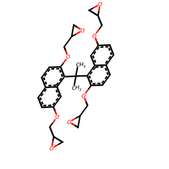 CC(C)(c1c(OCC2CO2)ccc2ccc(OCC3CO3)cc12)c1c(OCC2CO2)ccc2ccc(OCC3CO3)cc12